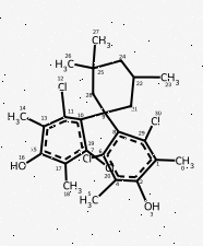 Cc1c(O)c(C)c(Cl)c(C2(c3c(Cl)c(C)c(O)c(C)c3Cl)CC(C)CC(C)(C)C2)c1Cl